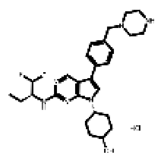 CC[C@H](Nc1ncc2c(-c3ccc(CN4CCNCC4)cc3)cn([C@H]3CC[C@H](O)CC3)c2n1)C(F)F.Cl